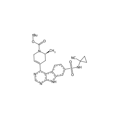 C[C@H]1CC(c2ncnc3[nH]c4cc(S(=O)(=O)NC5(C#N)CC5)ccc4c23)=CCN1C(=O)OC(C)(C)C